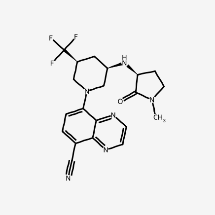 CN1CC[C@H](N[C@@H]2C[C@H](C(F)(F)F)CN(c3ccc(C#N)c4nccnc34)C2)C1=O